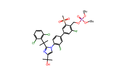 CC(C)(C)OP(=O)(OCc1c(F)cc(-c2ccc(-n3cc(C(C)(C)O)nc3C(C)(C)c3c(Cl)cccc3Cl)c(F)c2)cc1S(C)(=O)=O)OC(C)(C)C